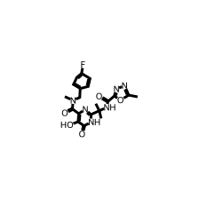 Cc1nnc(C(=O)NC(C)(C)c2nc(C(=O)N(C)Cc3ccc(F)cc3)c(O)c(=O)[nH]2)o1